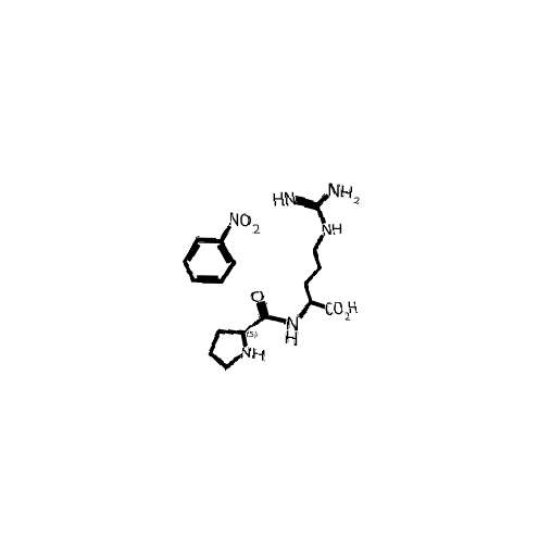 N=C(N)NCCCC(NC(=O)[C@@H]1CCCN1)C(=O)O.O=[N+]([O-])c1ccccc1